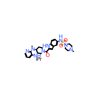 CC(C)Nc1cccnc1N(C)C1CCN(C(=O)c2cc3cc(NS(=O)(=O)N4CCN(C)CC4)ccc3[nH]2)CC1